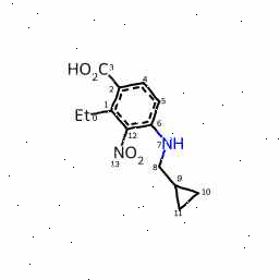 CCc1c(C(=O)O)ccc(NCC2CC2)c1[N+](=O)[O-]